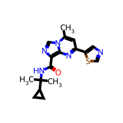 Cc1cc(-c2cncs2)nc2c(C(=O)NC(C)(C)C3CC3)ncn12